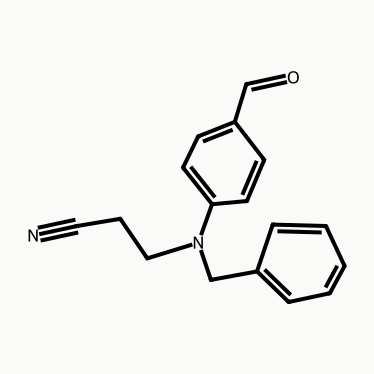 N#CCCN(Cc1ccccc1)c1ccc(C=O)cc1